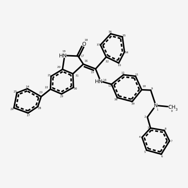 CN(Cc1ccccc1)Cc1ccc(NC(=C2C(=O)Nc3cc(-c4ccccc4)ccc32)c2ccccc2)cc1